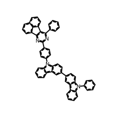 c1ccc(-c2nc(-c3ccc(-n4c5ccccc5c5cc(-c6ccc7c(c6)c6ccccc6n7-c6ccccc6)ccc54)cc3)nc3c2-c2cccc4cccc-3c24)cc1